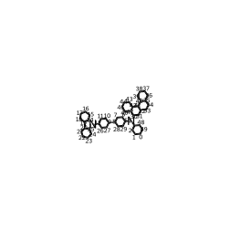 c1ccc(N(c2ccc(-c3ccc(-n4c5ccccc5c5ccccc54)cc3)cc2)c2cc3ccc4ccccc4c3c3ccccc23)cc1